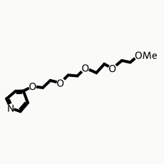 COCCOCCOCCOCCOc1ccncc1